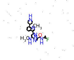 CNc1cc(-c2cn(C)c3c(C4CCNCC4)cccc23)nn2c(C(=O)N[C@@H]3C[C@@H]3F)cnc12